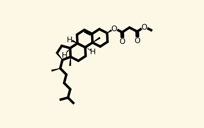 COC(=O)CC(=O)O[C@H]1CC[C@@]2(C)C(=CC[C@H]3[C@@H]4CC[C@H]([C@H](C)CCCC(C)C)[C@@]4(C)CC[C@@H]32)C1